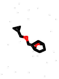 C1CC1COCC1CC2CCC1O2